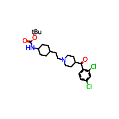 CC(C)(C)OC(=O)NC1CCC(CCN2CCC(C(=O)c3ccc(Cl)cc3Cl)CC2)CC1